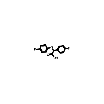 O=C(O)C(Oc1ccc(F)cc1)c1ccc(F)cc1